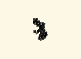 COCC(Oc1ccc(F)c(C(N)=O)c1F)c1nc(-c2ccc(C(F)(F)F)cc2)c(Br)o1